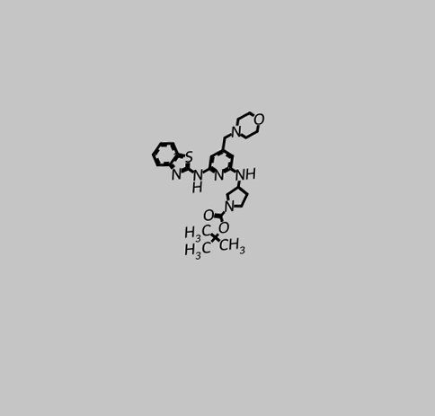 CC(C)(C)OC(=O)N1CCC(Nc2cc(CN3CCOCC3)cc(Nc3nc4ccccc4s3)n2)C1